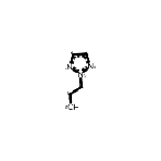 OCCn1nccn1